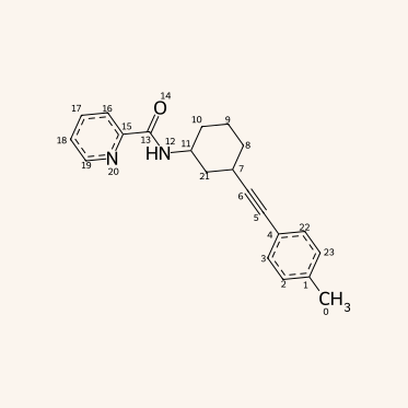 Cc1ccc(C#CC2CCCC(NC(=O)c3ccccn3)C2)cc1